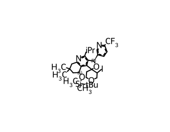 CC(C)c1nc2c(c3c1[C@@H](c1ccc(C(F)(F)F)nc1)OC31CCOCC1I)[C@@H](O[Si](C)(C)C(C)(C)C)CC(C)(C)C2